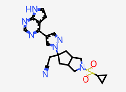 N#CCC1(n2cc(-c3ncnc4[nH]ccc34)cn2)CC2CN(S(=O)(=O)C3CC3)CC2C1